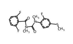 CSc1ccc(N(C)C(=O)N(C)C(=O)c2c(F)cccc2F)c(F)c1